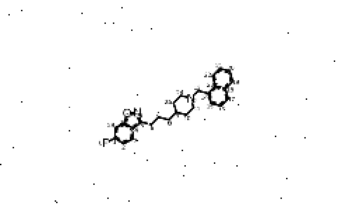 Fc1ccc2c(CCCC3CCN(Cc4cccc5ccccc45)CC3)noc2c1